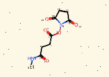 CCNC(=O)CCC(=O)ON1C(=O)CCC1=O